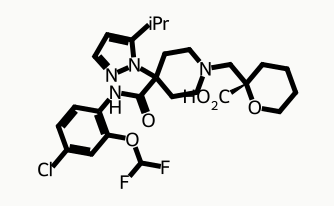 CC(C)c1ccnn1C1(C(=O)Nc2ccc(Cl)cc2OC(F)F)CCN(C[C@]2(C(=O)O)CCCCO2)CC1